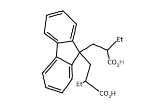 CCC(CC1(CC(CC)C(=O)O)c2ccccc2-c2ccccc21)C(=O)O